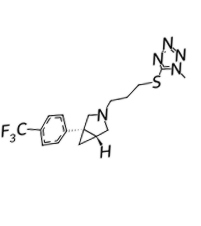 Cn1nnnc1SCCCN1C[C@@H]2C[C@@]2(c2ccc(C(F)(F)F)cc2)C1